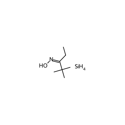 CCC(=NO)C(C)(C)C.[SiH4]